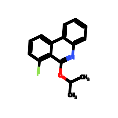 CC(C)Oc1nc2ccccc2c2cccc(F)c12